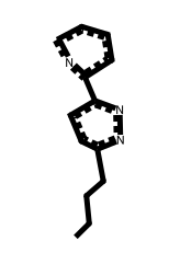 CCCCc1ccc(-c2ccccn2)nn1